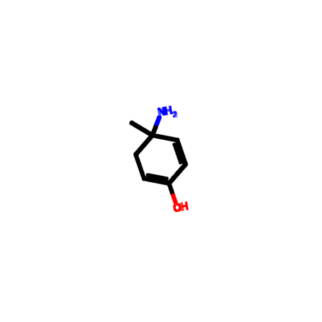 CC1(N)C=CC(O)=CC1